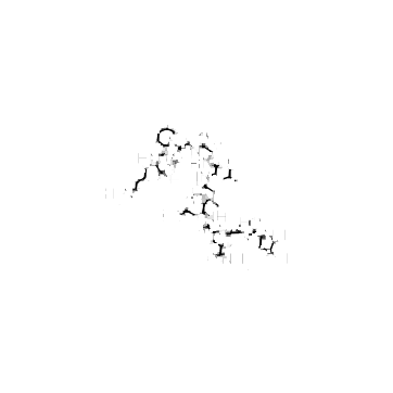 CC(C)C[C@H](NC(=O)CN(C)C(=O)[C@H](CC(=O)O)NC(=O)[C@H](CCC(N)=O)NC(=O)CNC(=O)[C@@H]1C[C@@H](O)CN1)C(=O)N[C@@H](C)C(=O)NCC(=O)N1CCCC[C@H]1C(=O)N[C@@H](CCCCN)C(=O)O